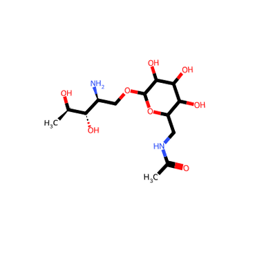 CC(=O)NCC1OC(OC[C@H](N)[C@H](O)[C@@H](C)O)C(O)C(O)C1O